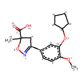 COc1ccc(C2=NOC(C)(C(=O)O)C2)cc1OC1CCCC1